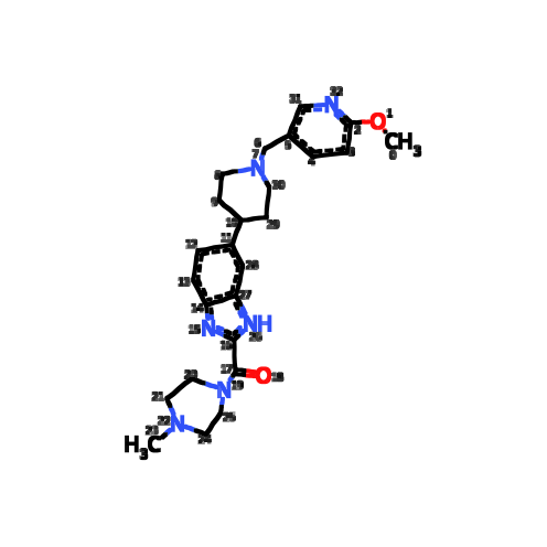 COc1ccc(CN2CCC(c3ccc4nc(C(=O)N5CCN(C)CC5)[nH]c4c3)CC2)cn1